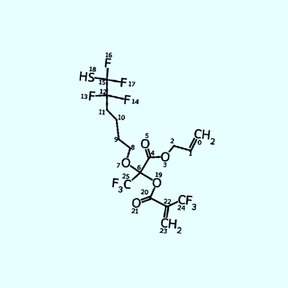 C=CCOC(=O)C(OCCCCC(F)(F)C(F)(F)S)(OC(=O)C(=C)C(F)(F)F)C(F)(F)F